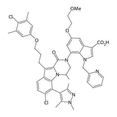 COCCOc1cc(N2CC(C)n3c(c(CCCOc4cc(C)c(Cl)c(C)c4)c4ccc(Cl)c(-c5c(C)nn(C)c5C)c43)C2=O)c2c(c1)c(C(=O)O)cn2Cc1ccccn1